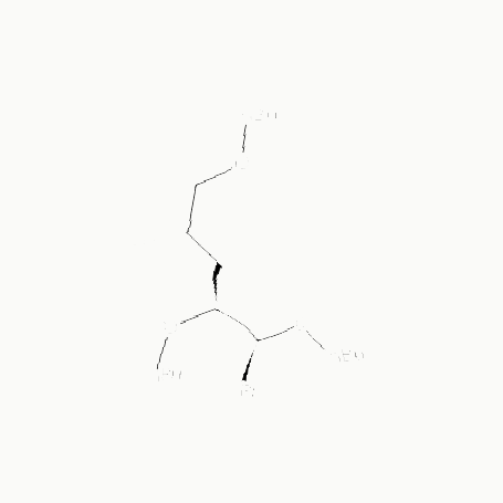 CCCCOC[C@@H](C)C[C@H](OCCCC)[C@@H](OCCCC)C(C)C